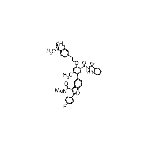 CNC(=O)c1c(-c2ccc(F)cc2)oc2ccc(-c3cc(C(=O)NC4(c5ccccn5)CC4)c(OCCc4ccc(N(C)C)cc4)cc3C)cc12